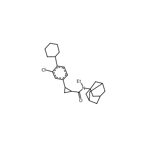 CCN(C(=O)C1CC1c1ccc(C2CCCCC2)c(Cl)c1)C12CC3CC(CC(C3)C1)C2